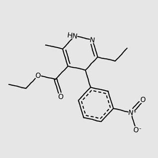 CCOC(=O)C1=C(C)NN=C(CC)C1c1cccc([N+](=O)[O-])c1